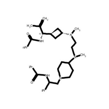 C=C(C)[C@@H](NC(=O)CCC)[C@H]1C[C@H](N(C)CCN(C)C2CCN(CC(NC(=O)C(C)C)C(C)C)CC2)C1